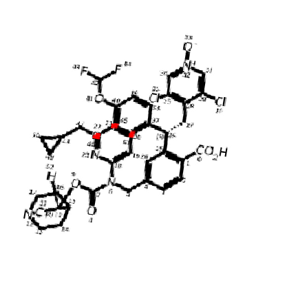 O=C(O)c1ccc(CN(C(=O)O[C@H]2CN3CCC2CC3)c2ccccn2)cc1[C@@H](Cc1c(Cl)c[n+]([O-])cc1Cl)c1ccc(OC(F)F)c(OCC2CC2)c1